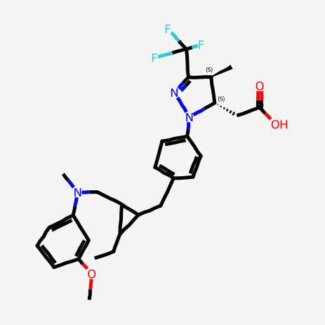 CCC1C(Cc2ccc(N3N=C(C(F)(F)F)[C@@H](C)[C@@H]3CC(=O)O)cc2)C1CN(C)c1cccc(OC)c1